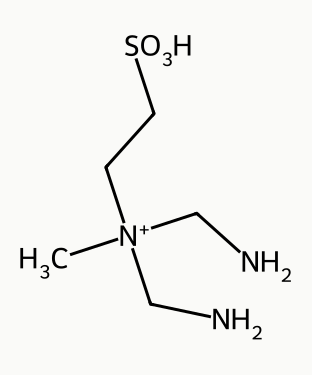 C[N+](CN)(CN)CCS(=O)(=O)O